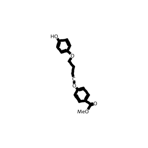 COC(=O)c1ccc(OCCCCOc2ccc(O)cc2)cc1